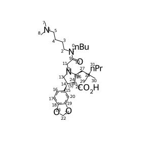 CCCCN(CCCCN(C)C)C(=O)CN1C[C@H](c2ccc3c(c2)OCO3)[C@@H](C(=O)O)[C@@H]1CC(C)(C)CCC